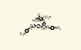 CC(=NC(=O)OCc1ccc([N+](=O)[O-])cc1)N1CCN(C(=O)[C@@H]2C[C@H](SC3=C(C(=O)O)N4C(=O)[C@H]([C@@H](C)O)[C@H]4[C@H]3C)CN2C(=O)OCc2ccc([N+](=O)[O-])cc2)CC1